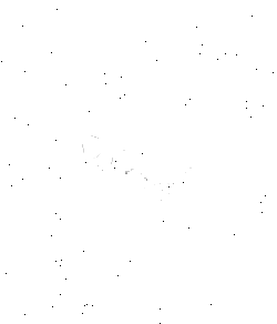 Cc1ccc2[nH]cc(C(C)CC(=O)N3C4CC5(C)CC3CC(O)(C4)C5)c2c1Cl